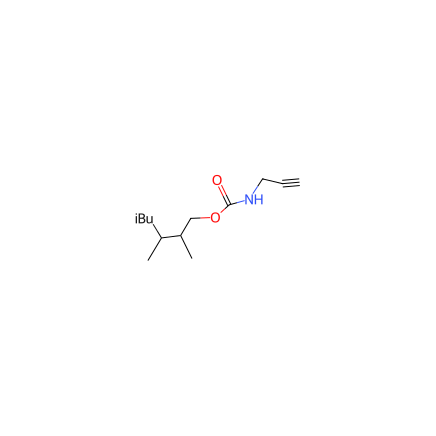 C#CCNC(=O)OCC(C)C(C)C(C)CC